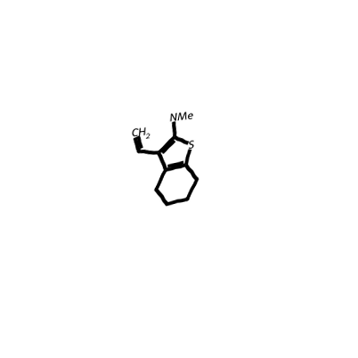 C=Cc1c(NC)sc2c1CCCC2